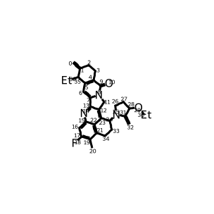 C=C1CCc2c(cc3n(c2=O)Cc2c-3nc3cc(F)c(C)c4c3c2C(N2CCC(OCC)C2=C)CC4)C1CC